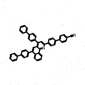 N#Cc1ccc(-c2ccc(-c3cc(-c4ccc(-c5ccccc5)cc4)c4cc(-c5ccc(-c6ccccc6)cc5)c5ccccc5c4n3)cc2)cc1